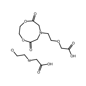 O=C(O)COCCN1CC(=O)OCCOC(=O)C1.[O]CC[N]CC(=O)O